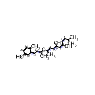 C=C(C)\C=C/C(O)=C\C(C)=C\C=C(/C)O/C(C)=C/C=c1/cc(O)ccc1=C